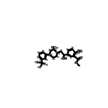 COC(=O)c1cc(C(O)CN2CCN(c3cccc(C(F)(F)F)c3)CC2)ccc1O.Cl